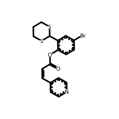 O=C(/C=C\c1ccncc1)Oc1ccc(Br)cc1C1SCCCS1